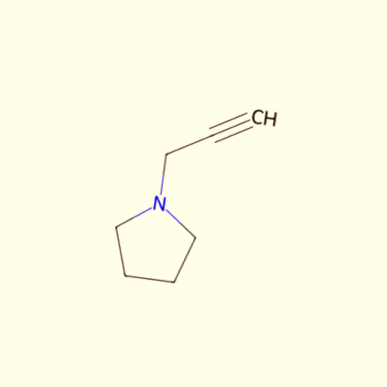 C#CCN1CCCC1